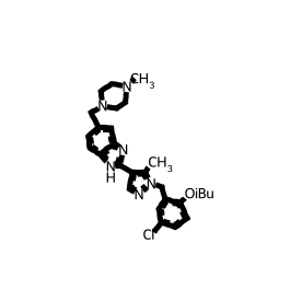 Cc1c(-c2nc3cc(CN4CCN(C)CC4)ccc3[nH]2)cnn1Cc1cc(Cl)ccc1OCC(C)C